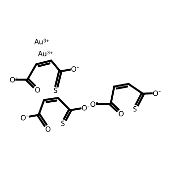 O=C([O-])/C=C\C([O-])=S.O=C([O-])/C=C\C([O-])=S.O=C([O-])/C=C\C([O-])=S.[Au+3].[Au+3]